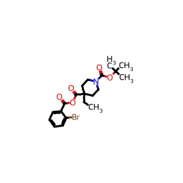 CCC1(C(=O)OC(=O)c2ccccc2Br)CCN(C(=O)OC(C)(C)C)CC1